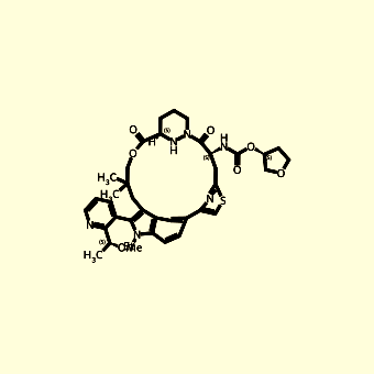 CCn1c(-c2cccnc2[C@H](C)OC)c2c3cc(ccc31)-c1csc(n1)C[C@H](NC(=O)O[C@H]1CCOC1)C(=O)N1CCC[C@H](N1)C(=O)OCC(C)(C)C2